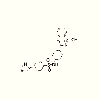 C[C@@H](NC(=O)[C@H]1CC[C@H](NS(=O)(=O)c2ccc(-n3cccn3)cc2)CC1)c1ccccc1